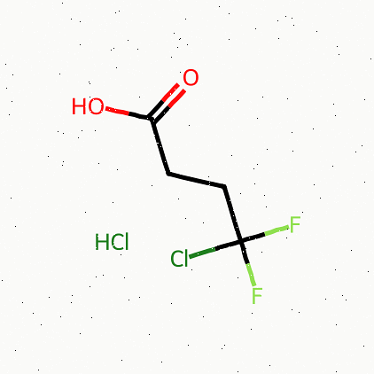 Cl.O=C(O)CCC(F)(F)Cl